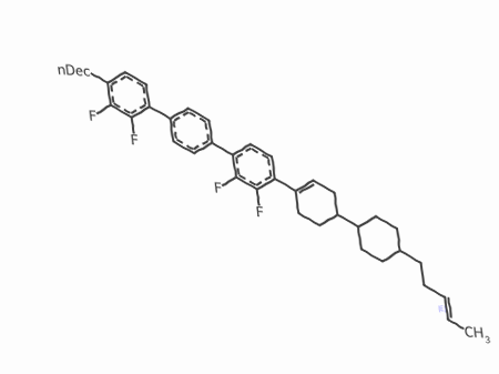 C/C=C/CCC1CCC(C2CC=C(c3ccc(-c4ccc(-c5ccc(CCCCCCCCCC)c(F)c5F)cc4)c(F)c3F)CC2)CC1